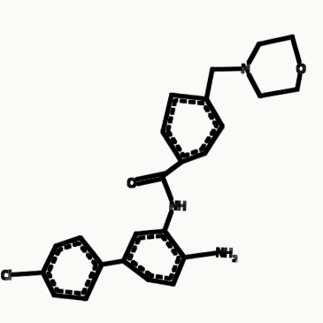 Nc1ccc(-c2ccc(Cl)cc2)cc1NC(=O)c1ccc(CN2CCOCC2)cc1